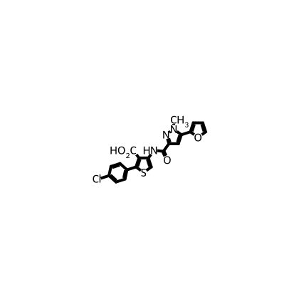 Cn1nc(C(=O)Nc2csc(-c3ccc(Cl)cc3)c2C(=O)O)cc1-c1ccco1